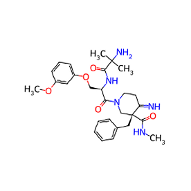 CNC(=O)[C@]1(Cc2ccccc2)CN(C(=O)[C@@H](COc2cccc(OC)c2)NC(=O)C(C)(C)N)CCC1=N